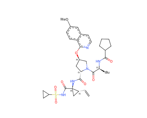 C=C[C@@H]1C[C@]1(NC(=O)[C@@H]1C[C@@H](Oc2nccc3cc(OC)ccc23)CN1C(=O)[C@@H](NC(=O)C1CCCC1)C(C)(C)C)C(=O)NS(=O)(=O)C1CC1